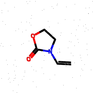 C=CN1CCOC1=O